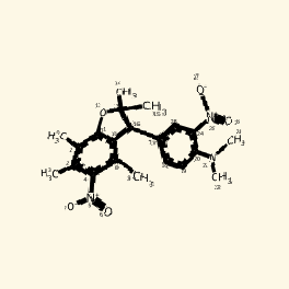 Cc1c(C)c([N+](=O)[O-])c(C)c2c1OC(C)(C)C2c1ccc(N(C)C)c([N+](=O)[O-])c1